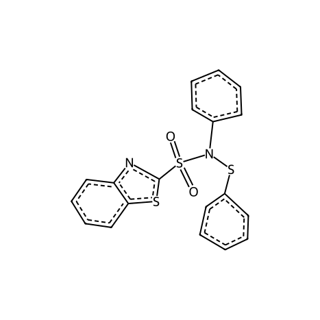 O=S(=O)(c1nc2ccccc2s1)N(Sc1ccccc1)c1ccccc1